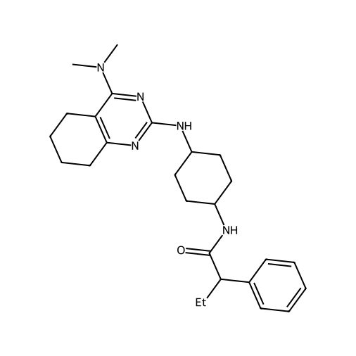 CCC(C(=O)NC1CCC(Nc2nc3c(c(N(C)C)n2)CCCC3)CC1)c1ccccc1